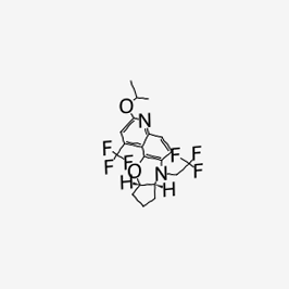 CC(C)Oc1cc(C(F)(F)F)c2c3c(ccc2n1)N(CC(F)(F)F)[C@@H]1CCC[C@@H]1O3